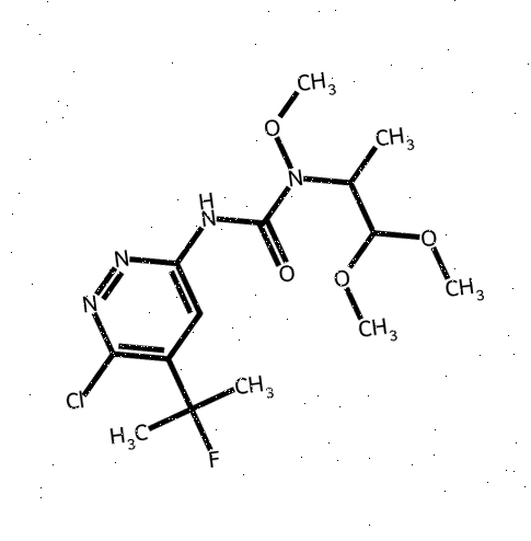 COC(OC)C(C)N(OC)C(=O)Nc1cc(C(C)(C)F)c(Cl)nn1